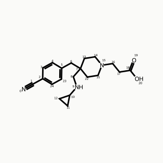 N#Cc1ccc(CC2(CNC3CC3)CCN(CCC(=O)O)CC2)cc1